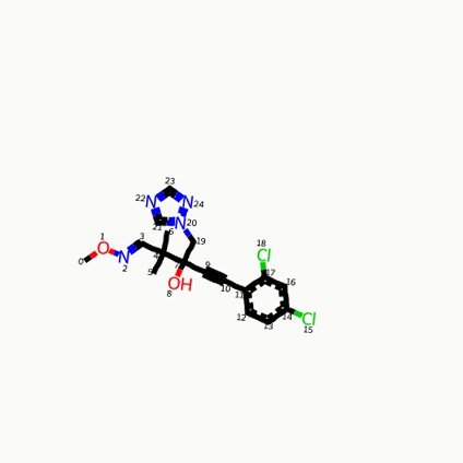 CON=CC(C)(C)C(O)(C#Cc1ccc(Cl)cc1Cl)Cn1cncn1